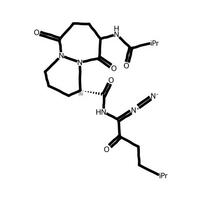 CC(C)CCC(=O)C(=[N+]=[N-])NC(=O)[C@@H]1CCCN2C(=O)CCC(NC(=O)C(C)C)C(=O)N12